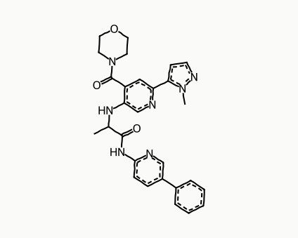 CC(Nc1cnc(-c2ccnn2C)cc1C(=O)N1CCOCC1)C(=O)Nc1ccc(-c2ccccc2)cn1